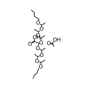 CC(=O)O.CCCCOC(C)OC(C)OC(C)OC(OC(C)OC(C)OC(C)OCCCC)C(=O)O